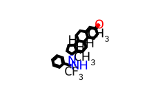 C[C@]12CCC(=O)C=C1CC[C@@H]1[C@@H]2CC[C@]2(C)C(N3NC3(c3ccccc3)C(F)(F)F)CC[C@@H]12